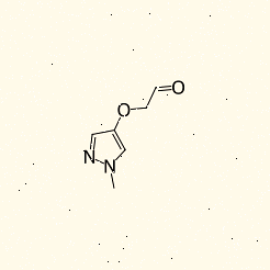 Cn1cc(OCC=O)cn1